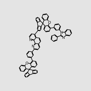 c1ccc(-c2nc3ccccc3n2-c2cccc(-c3cccc4c3Oc3ccccc3C43c4ccccc4-c4cc(-c5ccnc6c5ccc5ccc(-c7cccc(-c8cccc9c8Oc8ccccc8C98c9ccccc9-c9ccccc98)c7)nc56)ccc43)c2)cc1